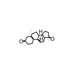 C[C@@H]1C[C@@H]2C(=CC[C@]3(C)C(=O)CC[C@@H]23)C2=C1CC(=O)CC2